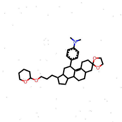 CN(C)c1ccc(C2CC3C(CCCOC4CCCCO4)CCC3C3CCC4CC5(CCC4=C23)OCCO5)cc1